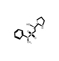 CN(c1ccccc1)S(=O)(=O)C[C@@H](O)[C@@H]1CCCN1